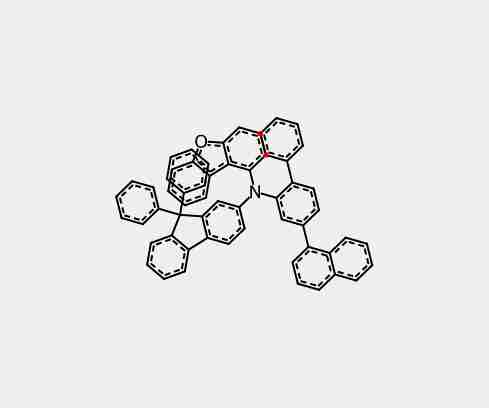 c1ccc(-c2ccc(-c3cccc4ccccc34)cc2N(c2ccc3c(c2)C(c2ccccc2)(c2ccccc2)c2ccccc2-3)c2cccc3oc4ccccc4c23)cc1